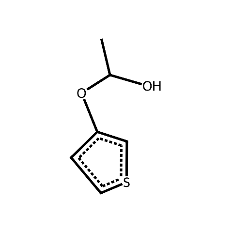 CC(O)Oc1ccsc1